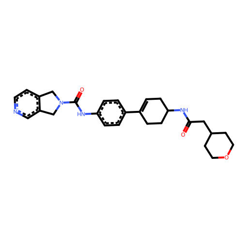 O=C(CC1CCOCC1)NC1CC=C(c2ccc(NC(=O)N3Cc4ccncc4C3)cc2)CC1